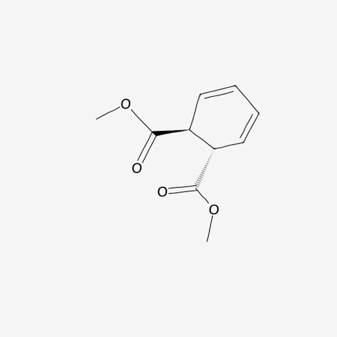 COC(=O)[C@H]1C=CC=C[C@@H]1C(=O)OC